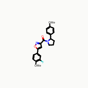 COc1ccc(C2CCCN2C(=O)c2cc(-c3ccc(OC)c(F)c3)on2)cc1